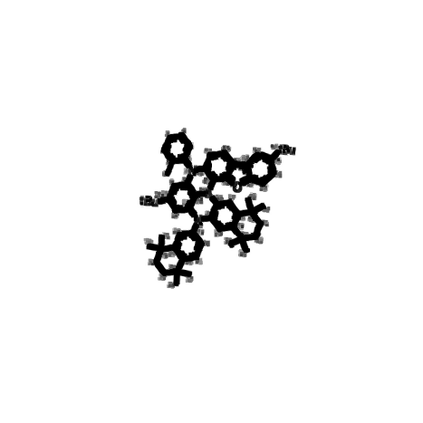 Cc1ccccc1N1c2cc(C(C)(C)C)cc3c2B(c2cc4c(cc2N3c2ccc3c(c2)C(C)(C)CCC3(C)C)C(C)(C)CCC4(C)C)c2c1ccc1c2oc2ccc(C(C)(C)C)cc21